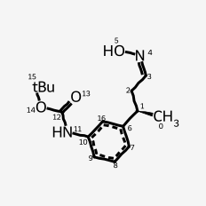 C[C@H](C/C=N\O)c1cccc(NC(=O)OC(C)(C)C)c1